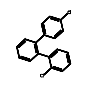 Clc1ccc(-c2[c]cccc2-c2ccccc2Cl)cc1